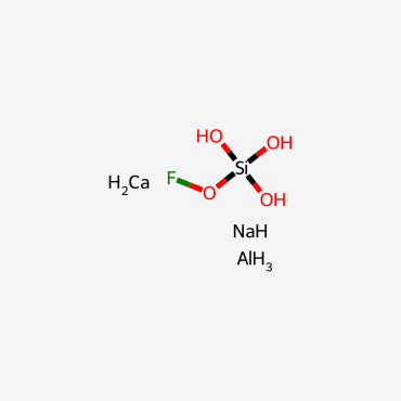 O[Si](O)(O)OF.[AlH3].[CaH2].[NaH]